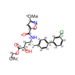 COc1cc(C(=O)N[C@H](Cc2ccc(-c3cccc(Cl)c3)cc2)C[C@@H](O)C(=O)OCOC(C)=O)on1